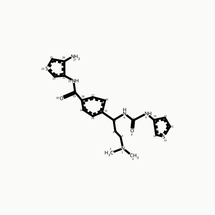 CN(C)CCC(NC(=O)Nc1ccsc1)c1ccc(C(=O)Nc2cscc2N)cc1